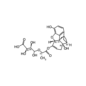 C[C@H](OC(O)[C@H](O)[C@@H](O)C(=O)O)C(=O)OC1=CC[C@@]2(O)[C@@H]3CCC[C@@]24c2c(ccc(O)c2O[C@@H]14)C3